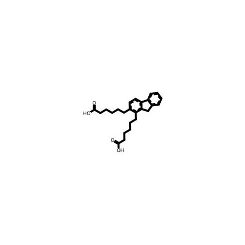 O=C(O)CCCCCc1ccc2c(c1CCCCCC(=O)O)Cc1ccccc1-2